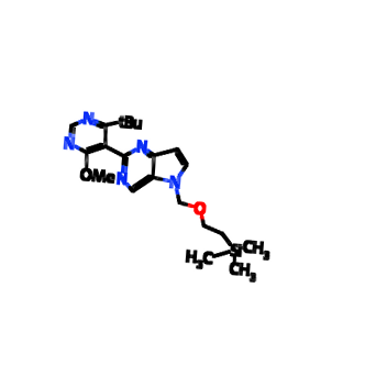 COc1ncnc(C(C)(C)C)c1-c1ncc2c(ccn2COCC[Si](C)(C)C)n1